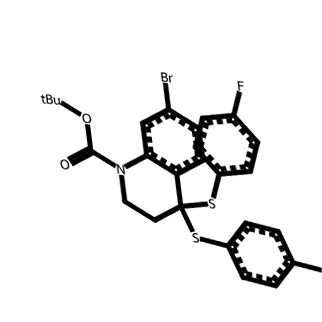 CC(C)(C)OC(=O)N1CCC(Sc2ccc(F)cc2)(Sc2ccc(F)cc2)c2ccc(Br)cc21